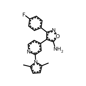 Cc1ccc(C)n1-c1cc(-c2c(-c3ccc(F)cc3)noc2N)ccn1